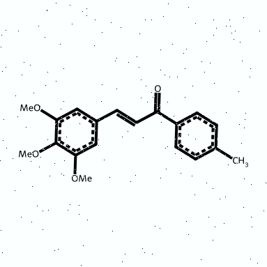 COc1cc(C=CC(=O)c2ccc(C)cc2)cc(OC)c1OC